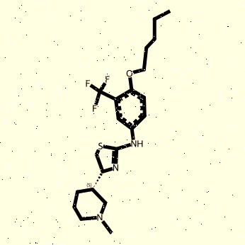 CCCCCOc1ccc(NC2=NC([C@H]3CCCN(C)C3)CS2)cc1C(F)(F)F